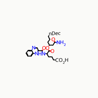 CCCCCCCCCCCCCC(CC(N)=O)OC(=O)C(CCCC(=O)O)NC(=O)c1cnc2ccccc2n1